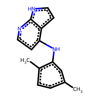 Cc1ccc(C)c(Nc2ccnc3[nH]ccc23)c1